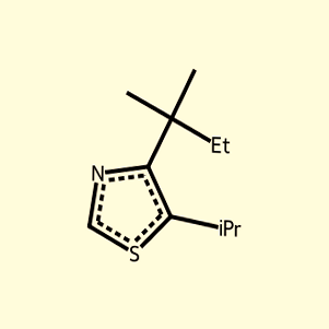 CCC(C)(C)c1ncsc1C(C)C